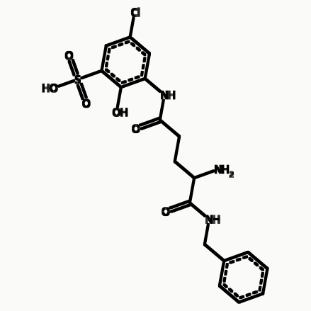 NC(CCC(=O)Nc1cc(Cl)cc(S(=O)(=O)O)c1O)C(=O)NCc1ccccc1